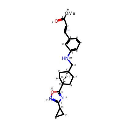 COC(=O)/C=C/c1cccc(NCC23CCC(c4nc(C5CC5)no4)(CC2)CC3)c1